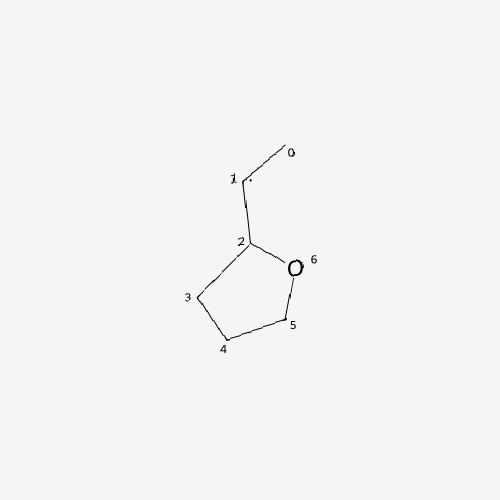 C[CH]C1CCCO1